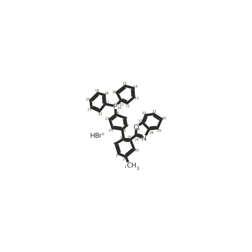 Br.Cc1ccc(-c2ccc(P(c3ccccc3)c3ccccc3)cc2)c(-c2nc3ccccc3o2)c1